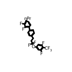 CCCc1ccc(-c2ccc(CCC(F)(F)Oc3cc(F)c(C(F)(F)F)c(F)c3)cc2)c(F)c1F